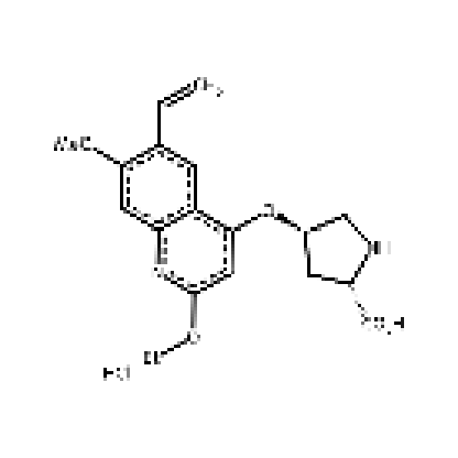 C=Cc1cc2c(O[C@H]3CN[C@H](C(=O)O)C3)cc(OCC)nc2cc1OC.Cl